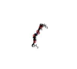 CCCCCCOc1ccc(-c2ccc(Oc3ccc(/C=C/C(=O)OCCCCCCOC[SiH](C)OC)cc3)cc2)cc1